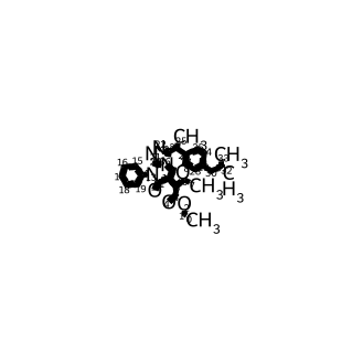 CCOC(=O)c1c(C)oc2c1c(=O)n(-c1ccccc1)c1nnc(C(C)c3ccc(CC(C)C)cc3)n21